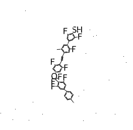 Cc1ccc(-c2cc(F)c(C(F)(F)Oc3cc(F)c(C#Cc4cc(F)c(-c5cc(F)c(S)c(F)c5)cc4C)c(F)c3)c(F)c2)cc1